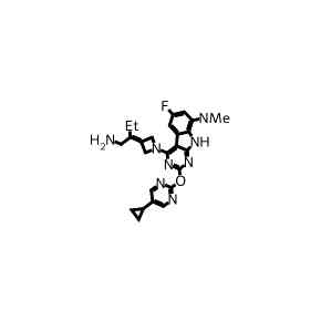 CCC(CN)=C1CN(c2nc(Oc3ncc(C4CC4)cn3)nc3[nH]c4c(NC)cc(F)cc4c23)C1